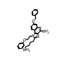 NCCCCc1nc2c(N)nc3cc(OCc4ccccc4)ccc3c2n1CCOc1ccccc1